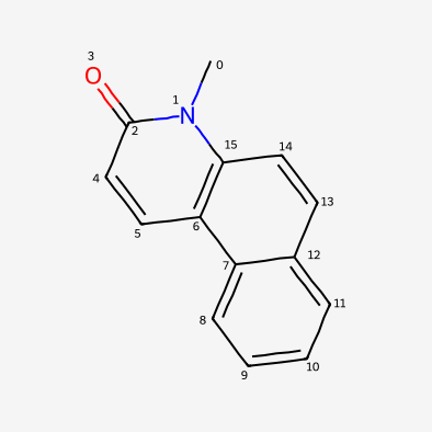 Cn1c(=O)ccc2c3ccccc3ccc21